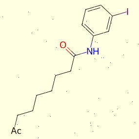 CC(=O)CCCCCCC(=O)Nc1cccc(I)c1